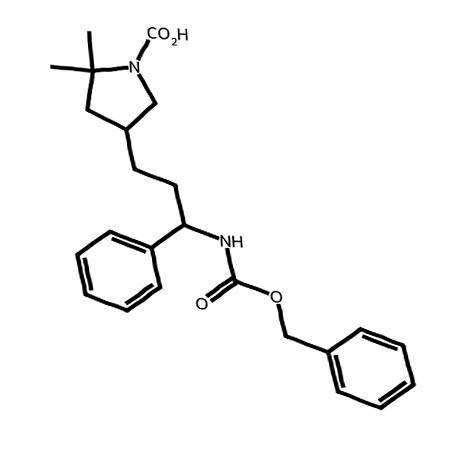 CC1(C)CC(CCC(NC(=O)OCc2ccccc2)c2ccccc2)CN1C(=O)O